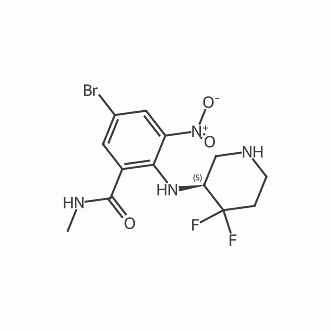 CNC(=O)c1cc(Br)cc([N+](=O)[O-])c1N[C@H]1CNCCC1(F)F